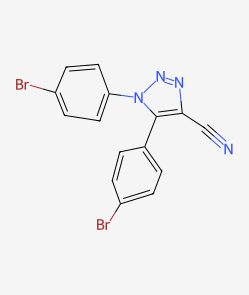 N#Cc1nnn(-c2ccc(Br)cc2)c1-c1ccc(Br)cc1